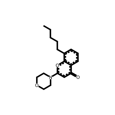 CCCCCc1cccc2c(=O)cc(N3CCOCC3)oc12